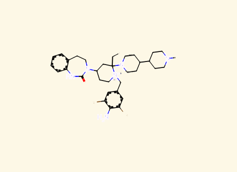 CN1CCC(C2CCN(C3(CC=O)CC(N4CCc5ccccc5NC4=O)CC[N@+]3(Cc3cc(Br)c(N)c(Br)c3)C(=O)[O-])CC2)CC1